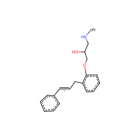 CCCNCC(O)COc1ccccc1C/C=C/c1ccccc1